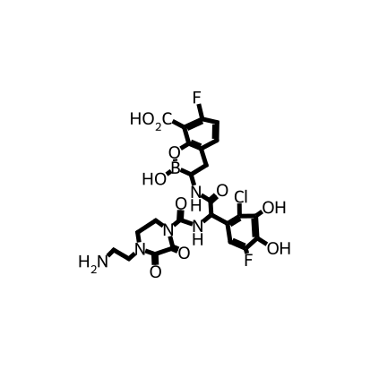 NCCN1CCN(C(=O)NC(C(=O)NC2Cc3ccc(F)c(C(=O)O)c3OB2O)c2cc(F)c(O)c(O)c2Cl)C(=O)C1=O